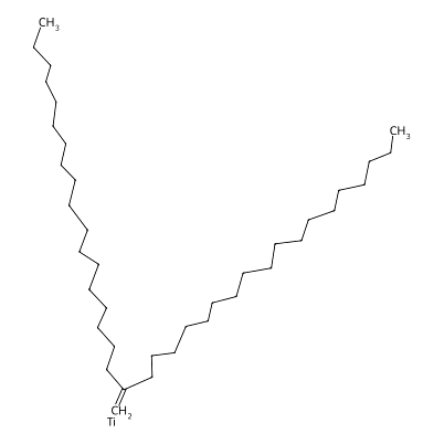 C=C(CCCCCCCCCCCCCCCCCC)CCCCCCCCCCCCCCCCCC.[Ti]